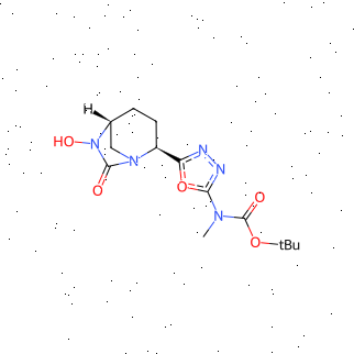 CN(C(=O)OC(C)(C)C)c1nnc([C@@H]2CC[C@@H]3CN2C(=O)N3O)o1